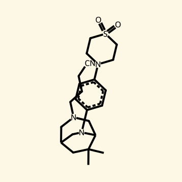 CC1(C)CC2CN(CCCC#N)CC1N(c1ccc(N3CCS(=O)(=O)CC3)cc1)C2